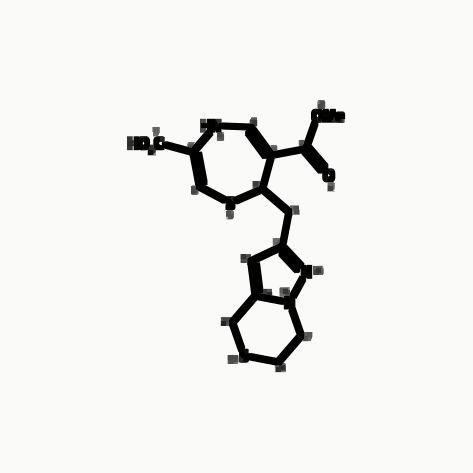 COC(=O)C1=CNC(C(=O)O)=CSC1Cc1cc2n(n1)CCSC2